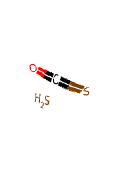 O=C=S.S